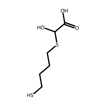 O=C(O)C(O)SCCCCS